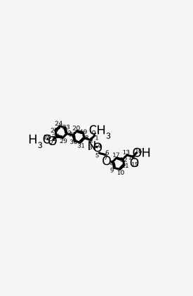 CC/C(=N\OCCOc1cccc(CC(=O)O)c1)c1ccc(-c2cccc(OC)c2)cc1